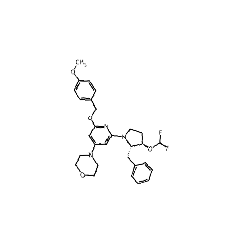 COc1ccc(COc2cc(N3CCOCC3)cc(N3CC[C@@H](OC(F)F)[C@@H]3Cc3ccccc3)n2)cc1